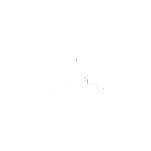 C=Cc1cc(OCC)cc(C(F)(F)F)c1